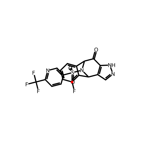 O=C1c2[nH]ncc2C2c3c(F)cccc3C1N2S(=O)(=O)c1ccc(C(F)(F)F)nc1